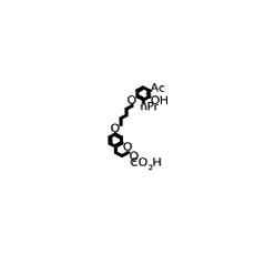 CCCc1c(OCCCCCOc2ccc3c(c2)OC(OC(=O)O)CC3)ccc(C(C)=O)c1O